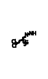 C[S+](C)[O-].N=C=NCCCCCC(Cl)Cl